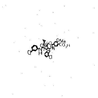 COc1cc2c3n(nc2cc1C(=O)O)C[C@@H]1[C@H](CO3)N(CC2CC2)[C@@](C)(C(=O)Nc2cccc(Cl)c2)[C@H]1c1cccc(Cl)c1F